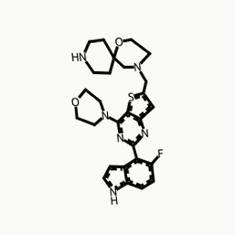 Fc1ccc2[nH]ccc2c1-c1nc(N2CCOCC2)c2sc(CN3CCOC4(CCNCC4)C3)cc2n1